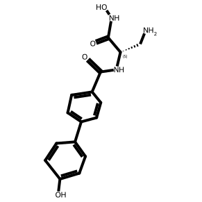 NC[C@H](NC(=O)c1ccc(-c2ccc(O)cc2)cc1)C(=O)NO